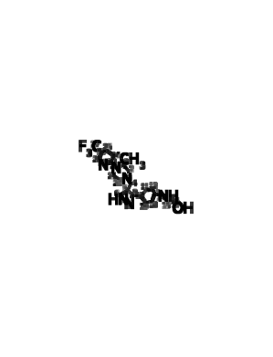 C[C@@H]1CN(Cc2c[nH]nc2-c2ccc(NCCO)cc2)CCN1c1ccc(C(F)(F)F)cn1